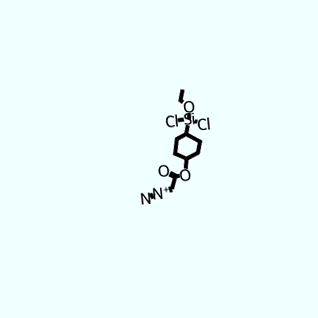 CCO[Si](Cl)(Cl)C1CCC(OC(=O)C=[N+]=[N-])CC1